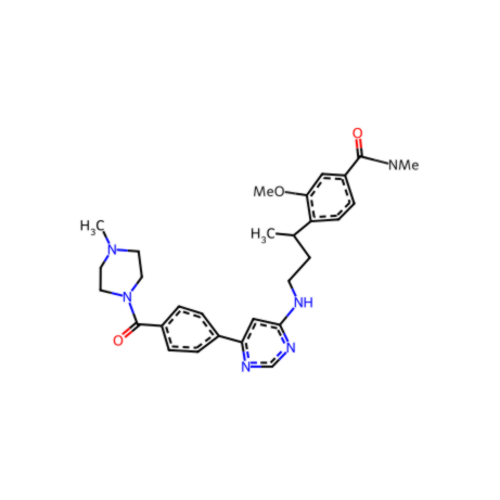 CNC(=O)c1ccc(C(C)CCNc2cc(-c3ccc(C(=O)N4CCN(C)CC4)cc3)ncn2)c(OC)c1